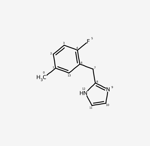 Cc1ccc(F)c(Cc2ncc[nH]2)c1